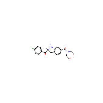 CCC(Cc1ccc(C(=O)N2CCOCC2)cc1)(C(=O)c1ccc(F)cc1)N(C)C